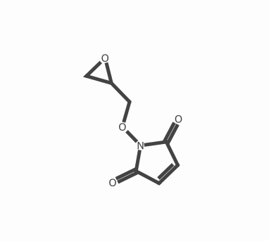 O=C1C=CC(=O)N1OCC1CO1